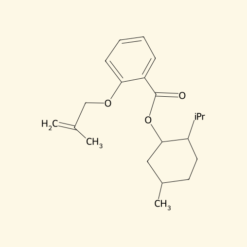 C=C(C)COc1ccccc1C(=O)OC1CC(C)CCC1C(C)C